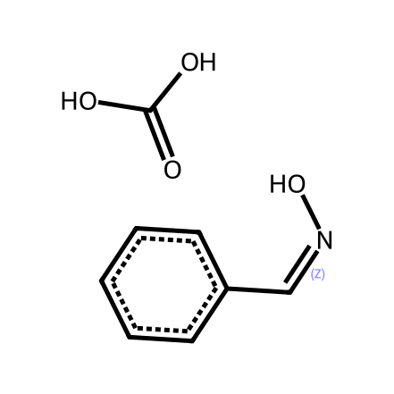 O/N=C\c1ccccc1.O=C(O)O